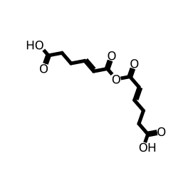 O=C(O)CC/C=C/C(=O)OC(=O)/C=C/CCC(=O)O